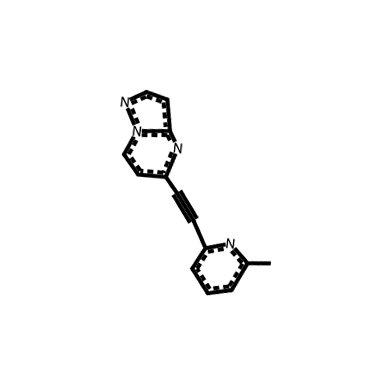 Cc1cccc(C#Cc2ccn3nccc3n2)n1